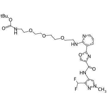 Cn1cc(NC(=O)c2coc(-c3cccnc3NCCOCCOCCOCCNC(=O)OC(C)(C)C)n2)c(C(F)F)n1